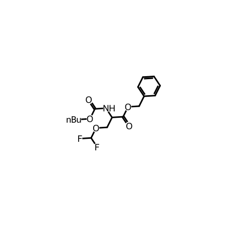 CCCCOC(=O)NC(COC(F)F)C(=O)OCc1ccccc1